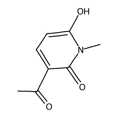 CC(=O)c1ccc(O)n(C)c1=O